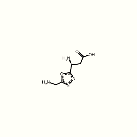 NCc1nnc([C@@H](N)CC(=O)O)o1